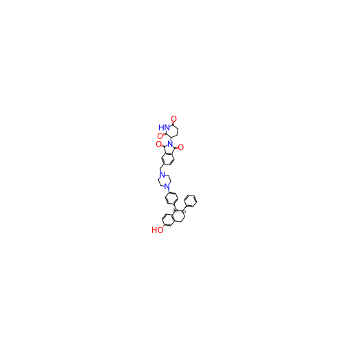 O=C1CCC(N2C(=O)c3ccc(CN4CCN(c5ccc([C@@H]6c7ccc(O)cc7CC[C@@H]6c6ccccc6)cc5)CC4)cc3C2=O)C(=O)N1